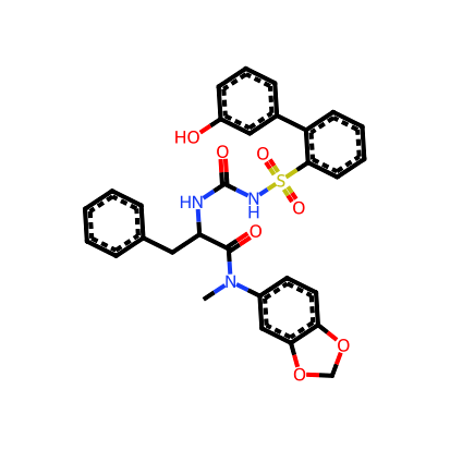 CN(C(=O)C(Cc1ccccc1)NC(=O)NS(=O)(=O)c1ccccc1-c1cccc(O)c1)c1ccc2c(c1)OCO2